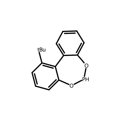 CC(C)(C)c1cccc2o[pH]oc3ccccc3c12